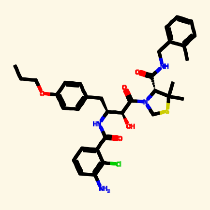 CCCOc1ccc(C[C@H](NC(=O)c2cccc(N)c2Cl)[C@H](O)C(=O)N2CSC(C)(C)[C@H]2C(=O)NCc2ccccc2C)cc1